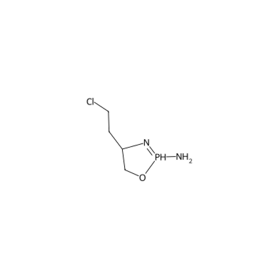 N[PH]1=NC(CCCl)CO1